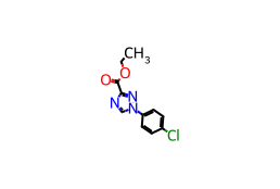 CCOC(=O)c1ncn(-c2ccc(Cl)cc2)n1